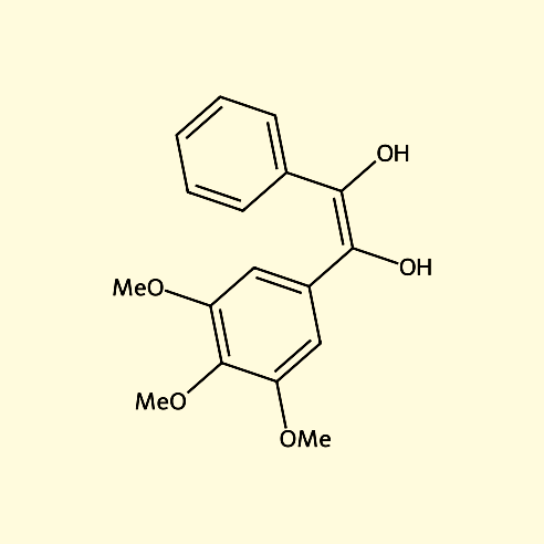 COc1cc(/C(O)=C(/O)c2ccccc2)cc(OC)c1OC